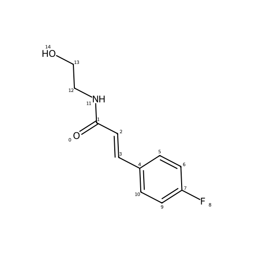 O=C(C=Cc1ccc(F)cc1)NCCO